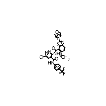 COc1ccc2nc(N3C4COCC3C4)sc2c1C(=O)Nc1nnc(Cl)cc1C(=O)NC12CCC(C(F)(F)F)(CC1)OC2